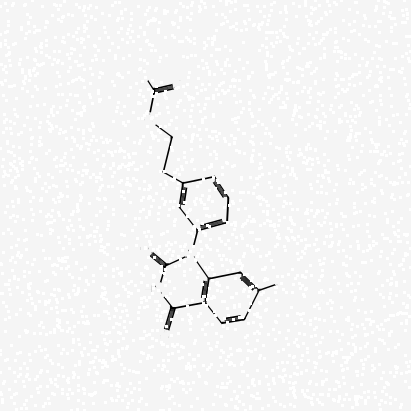 CC(=O)OCCc1cccc(-n2c(=O)[nH]c(=O)c3ccc(Cl)cc32)c1